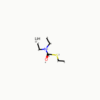 CCSC(=O)N(CC)CC.[LiH]